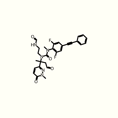 CN(C(=O)N(CCNC=O)C(C)(CC=O)c1ccc(=O)n(C)n1)c1c(F)cc(C#Cc2ccccc2)cc1F